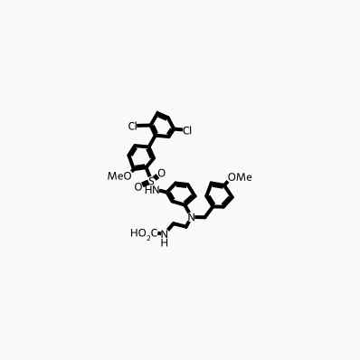 COc1ccc(CN(CCNC(=O)O)c2cccc(NS(=O)(=O)c3cc(-c4cc(Cl)ccc4Cl)ccc3OC)c2)cc1